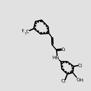 O=C(C=Cc1cccc(C(F)(F)F)c1)Nc1cc(Cl)c(O)c(Cl)c1